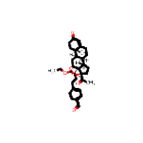 CCOC(=O)O[C@]1(C(C)=O)CC[C@H]2[C@@H]3CCC4=CC(=O)CC[C@@]4(C)[C@@H]3CC[C@@]21CCCc1ccc(C=O)cc1